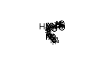 CS(=O)(=O)c1ccc(NC(=O)c2n[nH]c3ccc(-c4cncc(Oc5ccccc5)c4)cc23)cn1